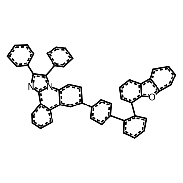 c1ccc(-c2nc3c4ccccc4c4cc(-c5ccc(-c6ccccc6-c6cccc7c6oc6ccccc67)cc5)ccc4n3c2-c2ccccc2)cc1